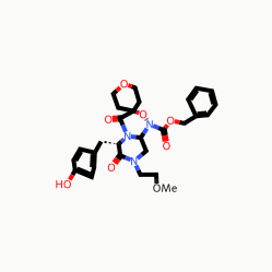 COCCN1CC2N(C(=O)OCc3ccccc3)OC3(CCOCC3)C(=O)N2[C@@H](Cc2ccc(O)cc2)C1=O